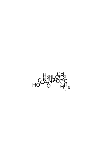 CC1(C)CCC(C)(C)C1OCCNC(=O)[C@@H](N)CC(=O)O